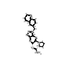 NC(=O)[C@H]1CCCN1c1cnc2nnn(Cc3ccc4ncccc4c3)c2n1